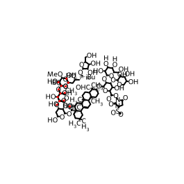 CC[C@H](C)[C@H](C[C@H](O)CC(=O)OC1CC(O)OC(OC(=O)[C@]23CCC(C)(C)CC2C2=CCC4[C@@]5(C)CC[C@H](OC6OC(C(=O)ON7C(=O)CC([SH](=O)=O)C7=O)C(O)C(OC7OCC(O)C(O)C7O)C6OC6OC(CO)C(O)C(O)C6O)[C@@](C)(C=O)C5CC[C@@]4(C)[C@]2(C)C[C@H]3O)C1OC1OC(C)C(OC2OCC(O)C(OC)C2O)C(O)C1O)OC(=O)C[C@@H](O)C[C@H](OC1OC(CO)C(O)C1O)[C@@H](C)CC